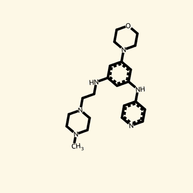 CN1CCN(CCNc2cc(Nc3ccncc3)cc(N3CCOCC3)c2)CC1